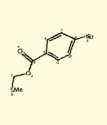 CSCOC(=O)c1ccc(C(C)(C)C)cc1